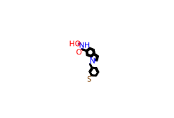 O=C(NO)c1ccc2ccn(CC3=CC(=S)CC=C3)c2c1